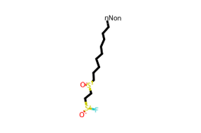 CCCCCCCCCCCCCCCCCC[S+]([O-])CC[S+]([O-])F